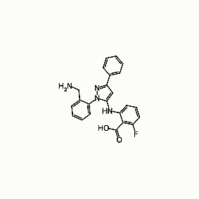 NCc1ccccc1-n1nc(-c2ccccc2)cc1Nc1cccc(F)c1C(=O)O